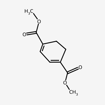 COC(=O)C1=CC=C(C(=O)OC)CC1